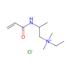 C=CC(=O)NC(C)C[N+](C)(C)CC.[Cl-]